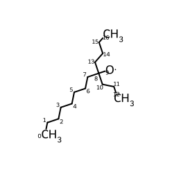 CCCCCCCCC([O])(CCC)CCCC